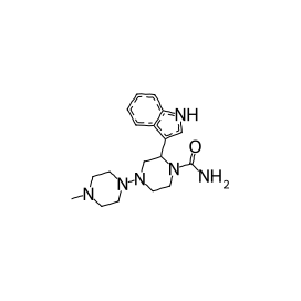 CN1CCN(N2CCN(C(N)=O)C(c3c[nH]c4ccccc34)C2)CC1